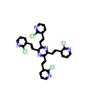 Clc1ncccc1C=Cc1nc(C=Cc2cccnc2Cl)c(C=Cc2cccnc2Cl)nc1C=Cc1cccnc1Cl